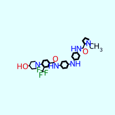 Cn1cccc1C(=O)Nc1ccc(Nc2ccc(NC(=O)c3ccc(N4CCC(O)CC4)c(C(F)(F)F)c3)cc2)cc1